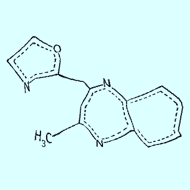 Cc1nc2ccccc2nc1-c1ncco1